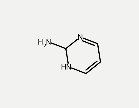 NC1N=CC=CN1